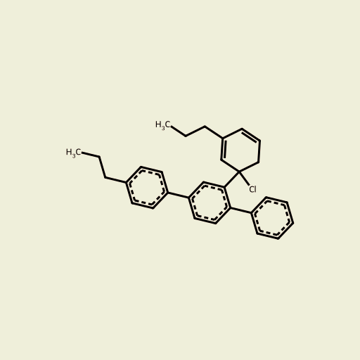 CCCC1=CC(Cl)(c2cc(-c3ccc(CCC)cc3)ccc2-c2ccccc2)CC=C1